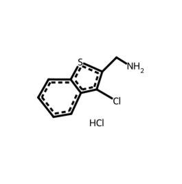 Cl.NCc1sc2ccccc2c1Cl